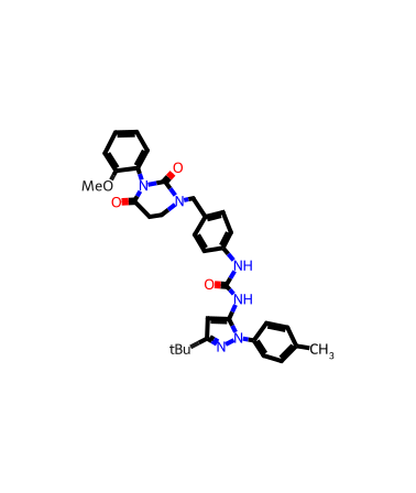 COc1ccccc1N1C(=O)CCN(Cc2ccc(NC(=O)Nc3cc(C(C)(C)C)nn3-c3ccc(C)cc3)cc2)C1=O